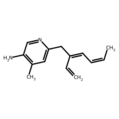 C=C/C(=C\C=C/C)Cc1cc(C)c(N)cn1